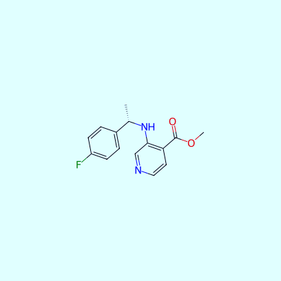 COC(=O)c1ccncc1N[C@@H](C)c1ccc(F)cc1